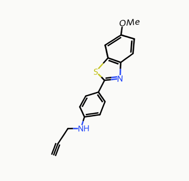 C#CCNc1ccc(-c2nc3ccc(OC)cc3s2)cc1